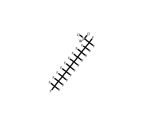 FC(F)(F)C(F)(F)C(F)(F)C(F)(F)C(F)(F)C(F)(F)C(F)(F)C(F)(F)C(F)(F)C(F)(F)[Si](Cl)(Cl)Br